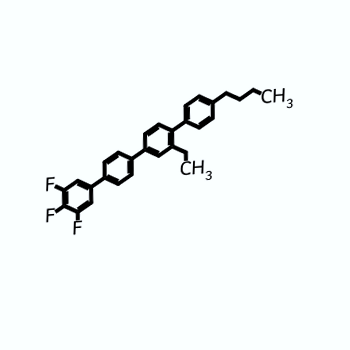 CCCCc1ccc(-c2ccc(-c3ccc(-c4cc(F)c(F)c(F)c4)cc3)cc2CC)cc1